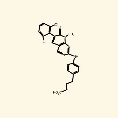 Cn1c(=O)c(-c2c(Cl)cccc2Cl)cc2cnc(Nc3ccc(CCCC(=O)O)cc3)nc21